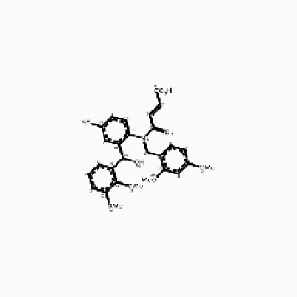 COc1ccc(CN(C(=O)/C=C/C(=O)O)c2ccc(F)cc2C(O)c2cccc(OC)c2OC)c(OC)c1